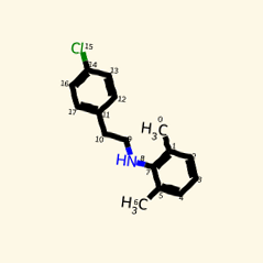 Cc1cccc(C)c1NCCc1ccc(Cl)cc1